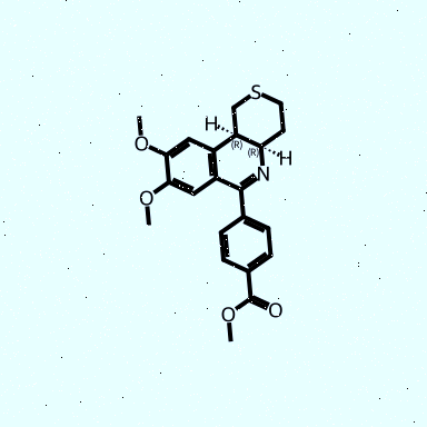 COC(=O)c1ccc(C2=N[C@@H]3CCSC[C@@H]3c3cc(OC)c(OC)cc32)cc1